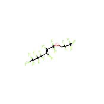 FC(=C(F)C(F)(F)C(F)(F)C(F)(F)F)C(F)(F)OCC(F)(F)C(F)(F)F